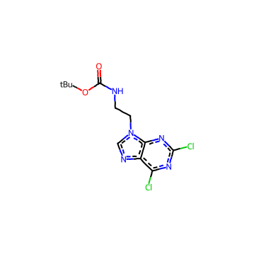 CC(C)(C)OC(=O)NCCn1cnc2c(Cl)nc(Cl)nc21